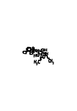 C=CCCC(=O)N[C@H]1[C@@H](OC=CC)[C@H](O)[C@@H](CNS(=O)(=O)c2cccc(Cl)c2Cl)O[C@@H]1O